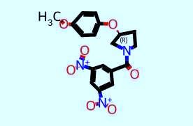 COc1ccc(O[C@@H]2CCN(C(=O)c3cc([N+](=O)[O-])cc([N+](=O)[O-])c3)C2)cc1